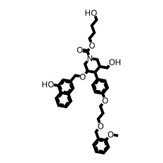 COc1ccccc1COCCCOc1ccc(C2C(CO)CN(C(=O)OCCCCO)CC2OCc2cc(O)c3ccccc3c2)cc1